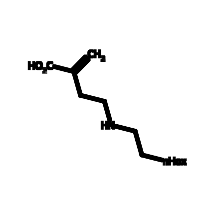 C=C(CCNCCCCCCCC)C(=O)O